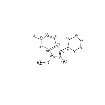 CC(=O)Cn1c(Br)c(C2CCCCC2)c2ccc(C)cc21